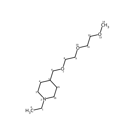 CCN1CCC(COCCOCCOC)CC1